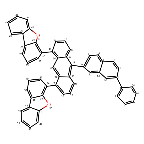 c1ccc(-c2ccc3ccc(-c4c5cccc(-c6cccc7c6oc6ccccc67)c5cc5c(-c6cccc7c6oc6ccccc67)cccc45)cc3c2)cc1